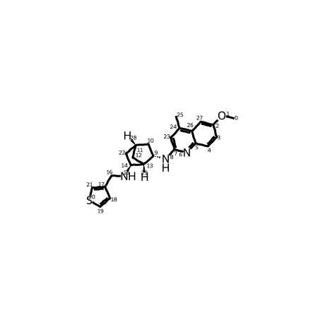 COc1ccc2nc(N[C@H]3C[C@@H]4C[C@H]3[C@@H](NCc3ccsc3)C4)cc(C)c2c1